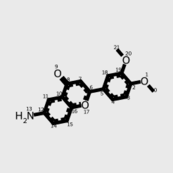 COc1ccc(-c2cc(=O)c3cc(N)ccc3o2)cc1OC